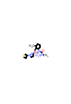 Cc1cccc(N(N)C(=O)N(C)N)c1COc1ccn(-c2ccsc2)n1